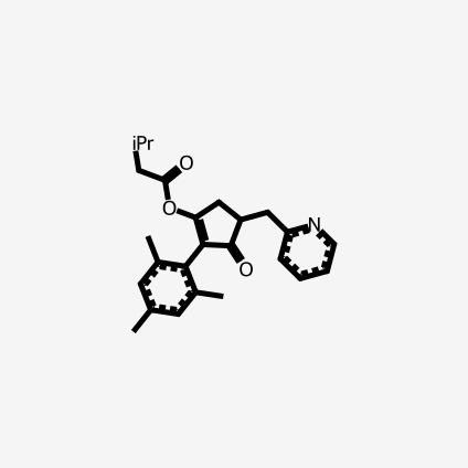 Cc1cc(C)c(C2=C(OC(=O)CC(C)C)CC(Cc3ccccn3)C2=O)c(C)c1